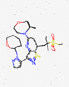 C[C@@H]1COCCN1c1cc(C(C)(C)S(C)(=O)=O)c2snc(-c3ccnn3C3CCCCO3)c2n1